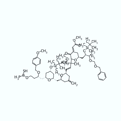 C=C1C[C@@H](C[C@H]2C[C@@H](O[Si](C)(C)C(C)(C)C)C[C@@H](C[C@H](CCOB(P)S)OCc3ccc(OC)cc3)O2)O[C@@H](/C=C/C(C)(C)[C@]2(OC)O[C@H](C[C@@H](O[Si](C)(C)C(C)(C)C)[C@@H](C)OCOCc3ccccc3)C/C(=C\C(=O)OC)C2=O)C1